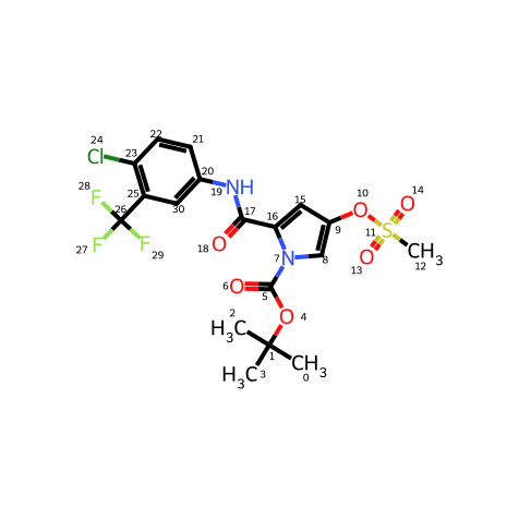 CC(C)(C)OC(=O)n1cc(OS(C)(=O)=O)cc1C(=O)Nc1ccc(Cl)c(C(F)(F)F)c1